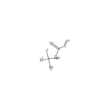 C=CC(=O)NC(C)(Cl)CC